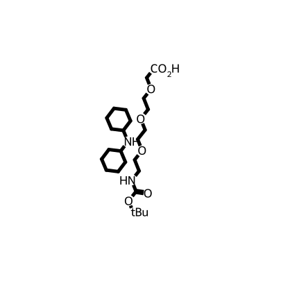 C1CCC(NC2CCCCC2)CC1.CC(C)(C)OC(=O)NCCOCCOCCOCC(=O)O